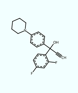 C#CC(O)(c1ccc(N2CCCCC2)cc1)c1ccc(F)cc1F